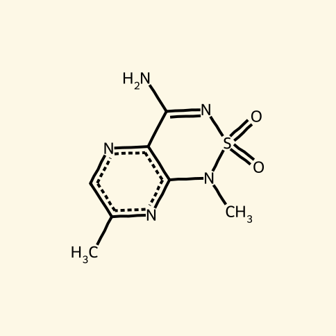 Cc1cnc2c(n1)N(C)S(=O)(=O)N=C2N